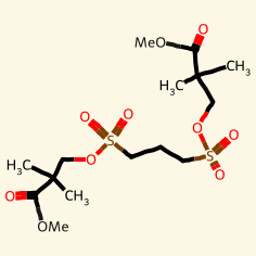 COC(=O)C(C)(C)COS(=O)(=O)CCCS(=O)(=O)OCC(C)(C)C(=O)OC